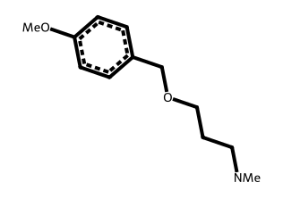 CNCCCOCc1ccc(OC)cc1